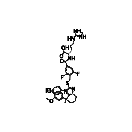 COc1cc(C2(C)CCCc3nc(SCc4c(F)cc(C(=O)N[C@@H](CCCNC(=N)N)C(=O)O)cc4F)n(-c4ccc(F)cc4)c32)ccc1Cl